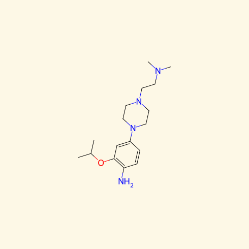 CC(C)Oc1cc(N2CCN(CCN(C)C)CC2)ccc1N